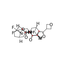 O=C(NC1C[C@H]2CC[C@@H](C1)N2S(=O)(=O)N1C[C@H]2C[C@@H](C1)C2NCC1CC(F)(F)C1)c1cc(C2COC2)on1